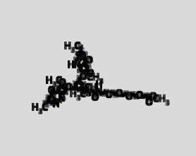 C/C=C1\CC2CNc3cc(OCc4cc(COc5cc6c(cc5OC)C(=O)N5C/C(=C/C)C[C@H]5C=N6)cc(C(C)(C)SCC(=O)NCCOCCOCCOCCOCCC(=O)OC)c4)c(OC)cc3C(=O)N2C1